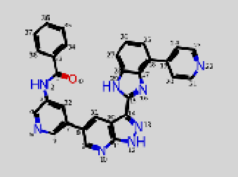 O=C(Nc1cncc(-c2cnc3[nH]nc(-c4nc5c(-c6ccncc6)cccc5[nH]4)c3c2)c1)c1ccccc1